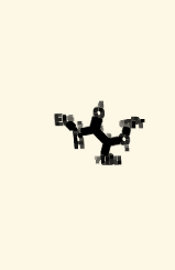 CCCOC(C(=O)NCC)C(C)(C)C